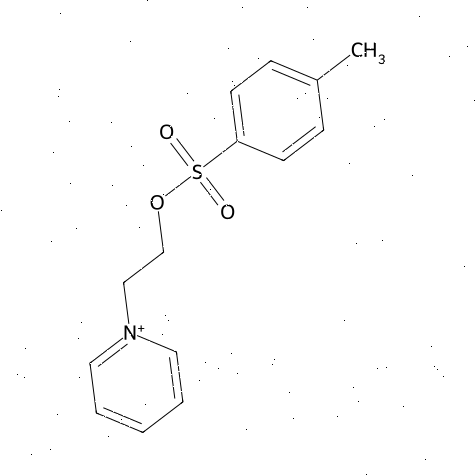 Cc1ccc(S(=O)(=O)OCC[n+]2ccccc2)cc1